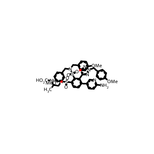 COc1ccc(CN(Cc2ccc(OC)cc2)S(=O)(=O)c2c(S(=O)(=O)NCC(C)NC(=O)O)ccc(-c3ccc(N)nc3)c2-c2nnn(Cc3ccc(OC)cc3)n2)cc1